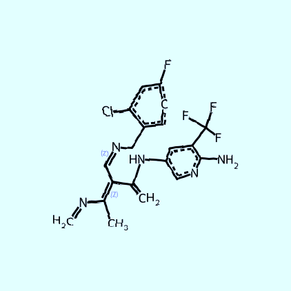 C=N/C(C)=C(\C=N/Cc1ccc(F)cc1Cl)C(=C)Nc1cnc(N)c(C(F)(F)F)c1